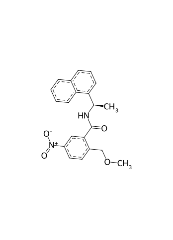 COCc1ccc([N+](=O)[O-])cc1C(=O)N[C@H](C)c1cccc2ccccc12